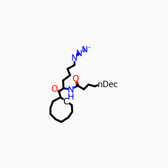 CCCCCCCCCCCCCC(=O)NC(CCCCN=[N+]=[N-])C(=O)C1CCCCCCCCC1